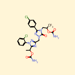 CC(OC(N)=O)c1nc(Cn2nc(-c3ccc(Cl)cc3)n(CC(OC(N)=O)C(F)(F)F)c2=O)nn1-c1ccccc1Cl